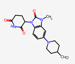 Cn1c(=O)n(C2CCC(=O)NC2=O)c2ccc(N3CCC(C=O)CC3)cc21